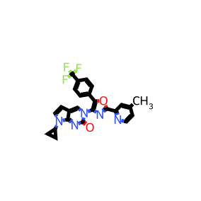 Cc1ccnc(-c2nc(-n3cc4ccn(C5CC5)c4nc3=O)c(-c3ccc(C(F)(F)F)cc3)o2)c1